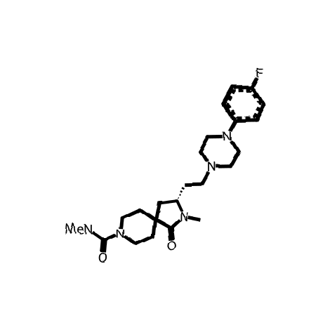 CNC(=O)N1CCC2(CC1)C[C@H](CCN1CCN(c3ccc(F)cc3)CC1)N(C)C2=O